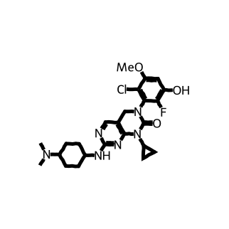 COc1cc(O)c(F)c(N2Cc3cnc(NC4CCC(N(C)C)CC4)nc3N(C3CC3)C2=O)c1Cl